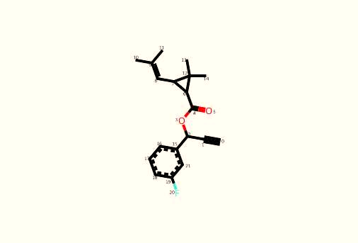 C#CC(OC(=O)C1C(C=C(C)C)C1(C)C)c1cccc(F)c1